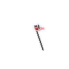 C=COC=C.C=COC=C.CCCC(O)O.CCCCCCCCCCCCCCCCCC